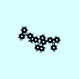 CC1(C)c2cc(N(c3cccc4ccccc34)c3ccc(-c4ccc5c6ccccc6n(-c6ccccc6)c5c4)c4ccccc34)ccc2-c2ccc(-n3c4ccccc4c4ccccc43)cc21